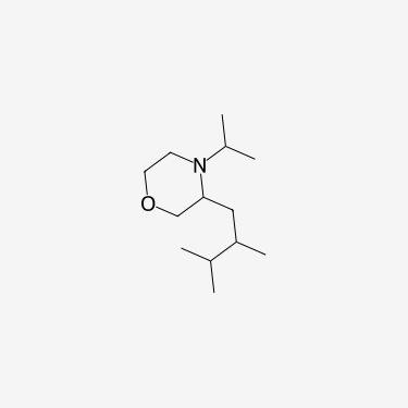 CC(C)C(C)CC1COCCN1C(C)C